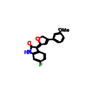 COc1cccc(C2=CC(=C3C(=O)Nc4cc(F)ccc43)OC2)c1